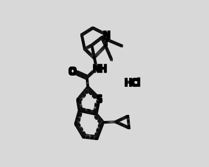 CC1(C)C(NC(=O)c2cc3cccc(C4CC4)c3s2)C2CCN1CC2.Cl